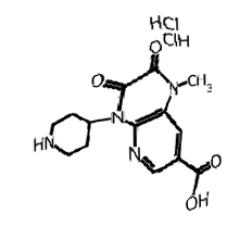 Cl.Cl.Cn1c(=O)c(=O)n(C2CCNCC2)c2ncc(C(=O)O)cc21